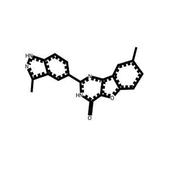 Cc1ccc2oc3c(=O)[nH]c(-c4ccc5[nH]nc(C)c5c4)nc3c2c1